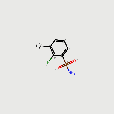 Cc1cccc(S(N)(=O)=O)c1F